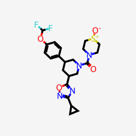 O=C(N1CC[S+]([O-])CC1)N1CC(c2ccc(OC(F)F)cc2)CC(c2nc(C3CC3)no2)C1